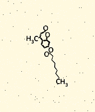 CCCCCCCCC(=O)Oc1ccc2c(C)cc(=O)oc2c1